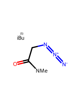 CC[C@H](C)C(N=[N+]=[N-])C(=O)NC